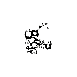 CS(=O)(=O)CC(=O)Nc1c2c(nn1-c1ccccn1)C[C@]1(CCCOc3cc(OCC(F)(F)F)ccc31)NC2=O